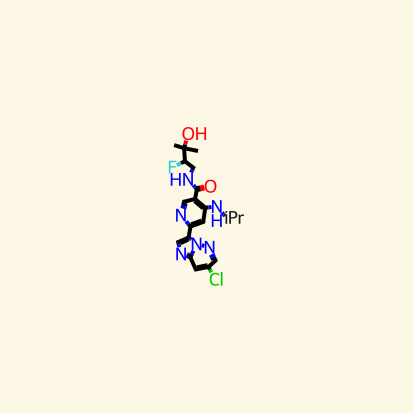 CC(C)Nc1cc(-c2cnc3cc(Cl)cnn23)ncc1C(=O)NCC(F)C(C)(C)O